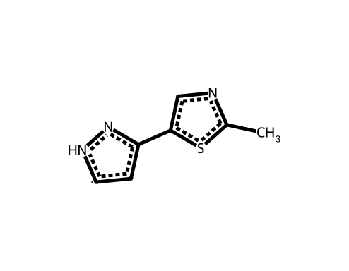 Cc1ncc(-c2c[c][nH]n2)s1